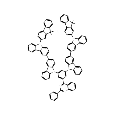 CC1(C)c2ccccc2-c2ccc(-n3c4ccccc4c4cc(-c5ccc6c(c5)c5ccccc5n6-c5cc(-c6nc(-c7ccccc7)nc7ccccc67)cc(-n6c7ccccc7c7cc(-c8ccc9c(c8)c8ccccc8n9-c8ccc9c(c8)C(C)(C)c8ccccc8-9)ccc76)c5)ccc43)cc21